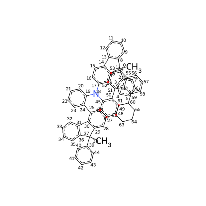 CC1(c2ccccc2)c2ccccc2-c2ccc(N(c3ccccc3-c3cccc4c3-c3ccccc3C4(C)c3ccccc3)c3ccccc3-c3cccc4cccc(C5CCCCC5)c34)cc21